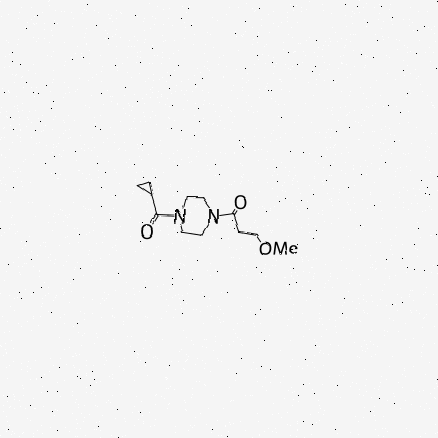 COCCC(=O)N1CCN(C(=O)C2CC2)CC1